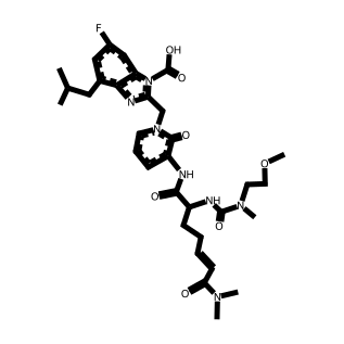 COCCN(C)C(=O)NC(CC/C=C/C(=O)N(C)C)C(=O)Nc1cccn(Cc2nc3c(CC(C)C)cc(F)cc3n2C(=O)O)c1=O